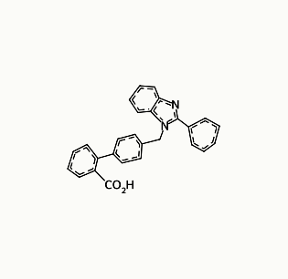 O=C(O)c1ccccc1-c1ccc(Cn2c(-c3ccccc3)nc3ccccc32)cc1